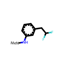 CNNc1cccc(CC(F)F)c1